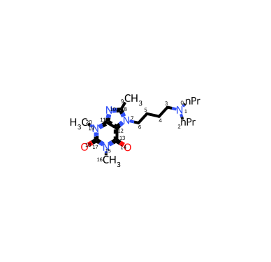 CCCN(CCC)CCCCn1c(C)nc2c1c(=O)n(C)c(=O)n2C